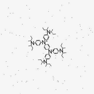 CCC(C)N(c1ccc([N+](=C2C=CC(=[N+](c3ccc(N(C(C)CC)C(C)CC)cc3)c3ccc(N(C(C)CC)C(C)CC)cc3)C=C2)c2ccc(N(C(C)CC)C(C)CC)cc2)cc1)C(C)CC